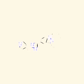 CC(=O)c1nn(CC(=O)O)c2ccc(-c3cnc(Oc4ccncc4)nc3)cc12